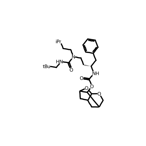 CC(C)CCN(CC[C@H](Cc1ccccc1)NC(=O)OC1C2COC3OC1CC3C2)C(=O)NCC(C)(C)C